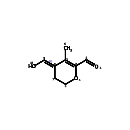 CC1=C(C=O)OCC/C1=C\O